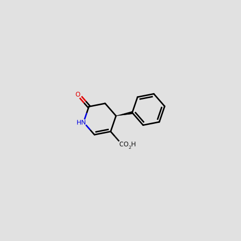 O=C1C[C@@H](c2ccccc2)C(C(=O)O)=CN1